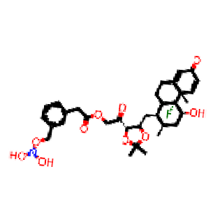 C[C@@H]1C[C@H](O)[C@@]2(F)C(CCC3=CC(=O)C=C[C@@]32C)[C@@H]1C[C@H]1OC(C)(C)O[C@@H]1C(=O)COC(=O)Cc1cccc(CON(O)O)c1